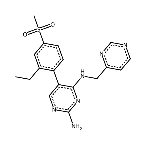 CCc1cc(S(C)(=O)=O)ccc1-c1cnc(N)nc1NCc1ccncn1